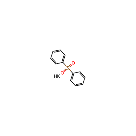 O=S(=O)(c1ccccc1)c1ccccc1.[KH]